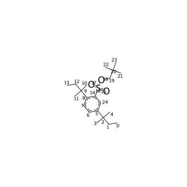 CCC(C)(C)c1ccc(C(C)(C)CC)c(S(=O)(=O)OCC(C)(C)C)c1